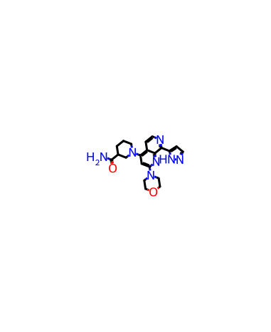 NC(=O)C1CCCN(c2cc(N3CCOCC3)nc3c(-c4ccn[nH]4)nccc23)C1